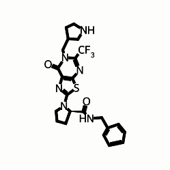 O=C(NCc1ccccc1)[C@H]1CCCN1c1nc2c(=O)n(CC3CCNC3)c(C(F)(F)F)nc2s1